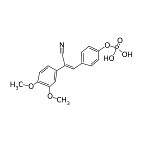 COc1ccc(C(C#N)=Cc2ccc(OP(=O)(O)O)cc2)cc1OC